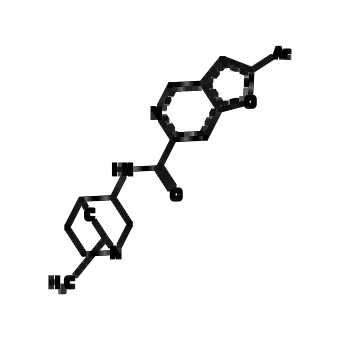 CC(=O)c1cc2cnc(C(=O)NC3CN4CCC3CC4C)cc2o1